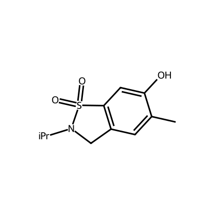 Cc1cc2c(cc1O)S(=O)(=O)N(C(C)C)C2